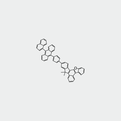 CC1(C)c2cc(-c3ccc(-c4c5ccccc5c(-c5cccc6ccccc56)c5ccccc45)cc3)ccc2-c2c1c1ccccc1c1c2oc2ccccc21